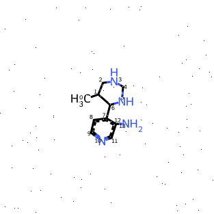 CC1CNCNC1c1ccncc1N